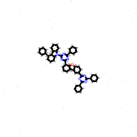 c1ccc(-c2nc(-c3ccccc3)nc(-c3ccc4oc5c(-c6nc(-c7ccccc7)nc(-n7c8ccccc8c8c(-c9ccccc9)cccc87)n6)cccc5c4c3)n2)cc1